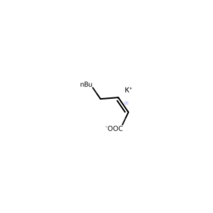 CCCCC/C=C\C(=O)[O-].[K+]